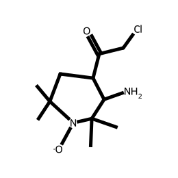 CC1(C)CC(C(=O)CCl)C(N)C(C)(C)N1[O]